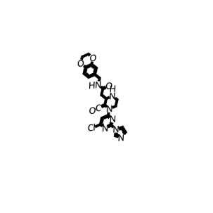 O=C=C1C(CC(=O)NCc2ccc3c(c2)OCCO3)NCCN1c1cc(Cl)nc(-n2ccnc2)n1